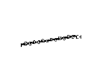 C#CCOCCOCCOCCOCCOCCOCCOCCOCCOCCOCCOCCOCCI